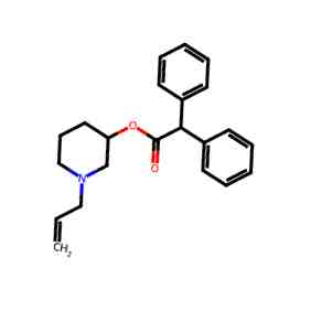 C=CCN1CCCC(OC(=O)C(c2ccccc2)c2ccccc2)C1